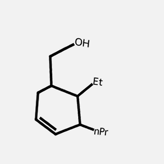 CCCC1C=CCC(CO)C1CC